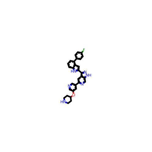 Fc1ccc(-c2cccc3[nH]c(-c4n[nH]c5cnc(-c6cncc(OC7CCNCC7)c6)cc45)cc23)cc1